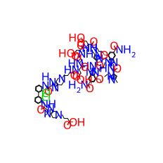 CCn1nc(C)cc1C(=O)Nc1nc2cc(C(N)=O)cc(OC)c2n1C/C=C/Cn1c(NC(=O)c2cc(C)nn2CC)nc2cc(C(N)=O)cc(OCCCNC(=O)C(CC(=O)O)NC(=O)C(CC(=O)O)NC(=O)CNC(=O)C(CC(=O)O)NC(=O)CCCN3CCc4c(nc(C(=O)Nc5cccc(-c6cccc(NC(=O)c7nc8c(n7C)CCN(CCCC(=O)O)C8)c6Cl)c5Cl)n4C)C3)c21